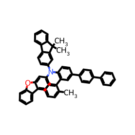 Cc1ccccc1-c1cc(-c2ccc(-c3ccccc3)cc2)ccc1N(c1ccc2c(c1)C(C)(C)c1ccccc1-2)c1ccc2c(c1)oc1ccccc12